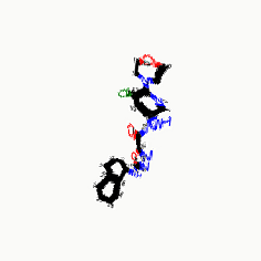 O=C(Nc1cnc(N2CCOCC2)c(Cl)c1)c1nnc(Nc2cccc3ccccc23)o1